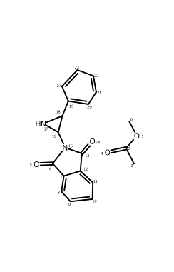 COC(C)=O.O=C1c2ccccc2C(=O)N1C1NC1c1ccccc1